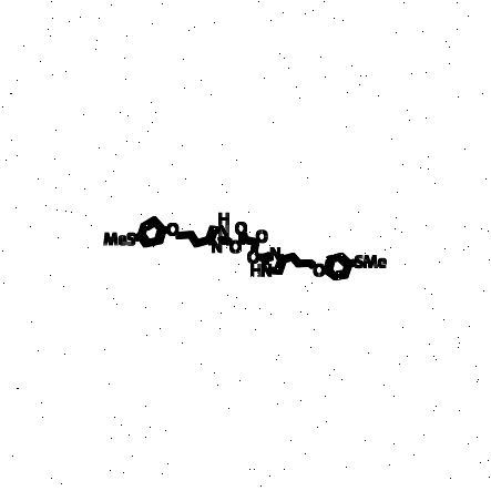 CSc1ccc(OCCCc2c[nH]c(OC(=O)C(=O)Oc3nc(CCCOc4ccc(SC)cc4)c[nH]3)n2)cc1